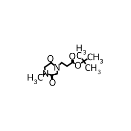 CN1CC(=O)N(CCC(=O)OC(C)(C)C)CC1=O